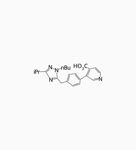 CCCCn1nc(C(C)C)nc1Cc1ccc(-c2cnccc2C(=O)O)cc1